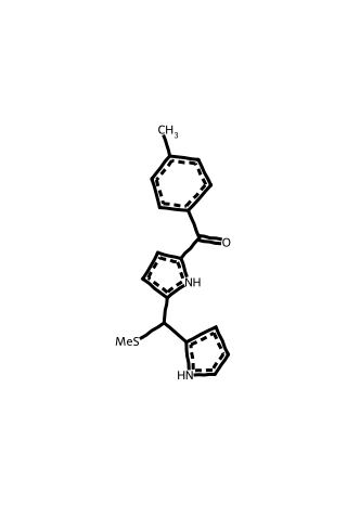 CSC(c1ccc[nH]1)c1ccc(C(=O)c2ccc(C)cc2)[nH]1